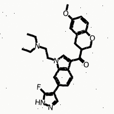 CCN(CC)CCn1cc(C(=O)C2COc3ccc(OC)cc3C2)c2ccc(-c3cn[nH]c3F)cc21